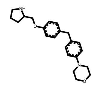 c1cc(OCC2CCCN2)ccc1Cc1ccc(N2CCOCC2)cc1